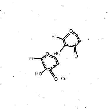 CCc1occc(=O)c1O.CCc1occc(=O)c1O.[Cu]